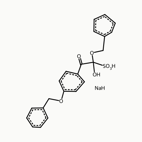 O=C(c1ccc(OCc2ccccc2)cc1)C(O)(OCc1ccccc1)S(=O)(=O)O.[NaH]